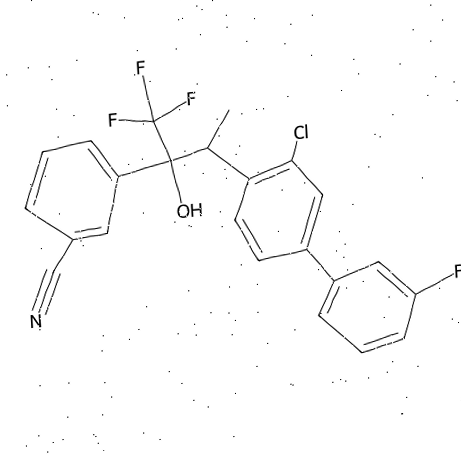 CC(c1ccc(-c2cccc(F)c2)cc1Cl)C(O)(c1cccc(C#N)c1)C(F)(F)F